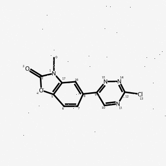 Cn1c(=O)oc2ccc(-c3cnc(Cl)nn3)cc21